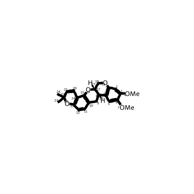 COc1cc2c(cc1OC)[C@@H]1Cc3ccc4c(c3O[C@@H]1CO2)C=CC(C)(C)O4